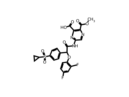 COC(=O)c1ncc(NC(=O)C(Oc2ccc(F)cc2F)c2ccc(S(=O)(=O)C3CC3)cc2)nc1C(=O)O